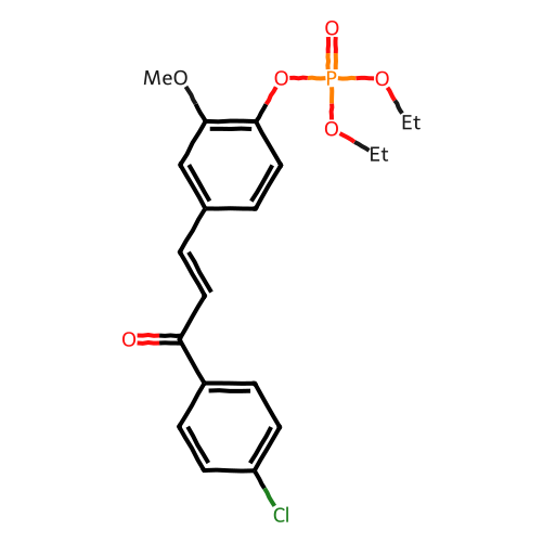 CCOP(=O)(OCC)Oc1ccc(/C=C/C(=O)c2ccc(Cl)cc2)cc1OC